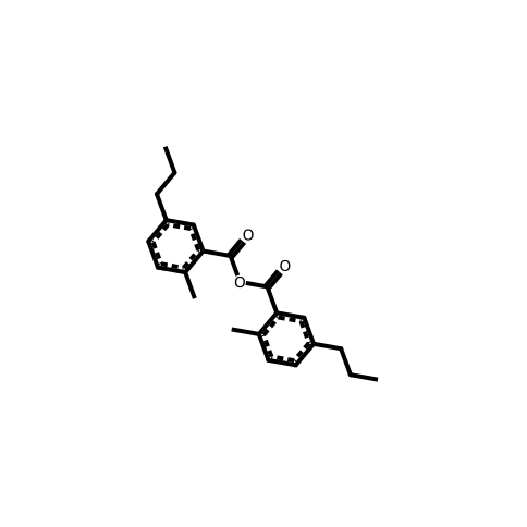 CCCc1ccc(C)c(C(=O)OC(=O)c2cc(CCC)ccc2C)c1